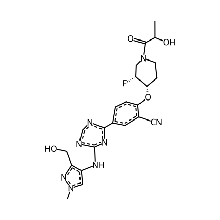 CC(O)C(=O)N1CC[C@H](Oc2ccc(-c3ncnc(Nc4cn(C)nc4CO)n3)cc2C#N)[C@H](F)C1